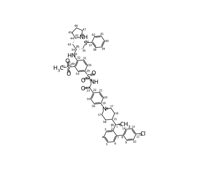 C[C@@H](c1ccccc1-c1ccc(Cl)cc1)C1CCN(c2ccc(C(=O)NS(=O)(=O)c3ccc(N[C@@H](CSc4ccccc4)C[C@@H]4CCCN4)c(S(C)(=O)=O)c3)cc2)CC1